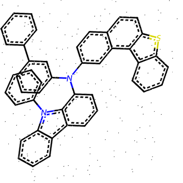 c1ccc(-c2cccc(N(c3ccc4ccc5sc6ccccc6c5c4c3)c3cccc4c5ccccc5n(-c5ccccc5)c34)c2)cc1